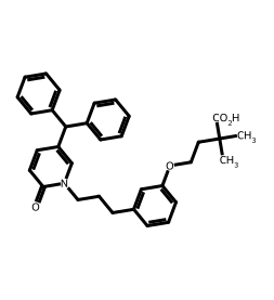 CC(C)(CCOc1cccc(CCCn2cc(C(c3ccccc3)c3ccccc3)ccc2=O)c1)C(=O)O